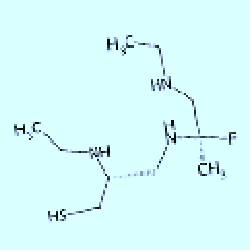 CCNC[C@@](C)(F)NC[C@H](CS)NCC